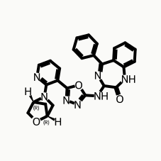 O=C1Nc2ccccc2C(c2ccccc2)=NC1Nc1nnc(-c2cccnc2N2C[C@H]3C[C@@H]2CO3)o1